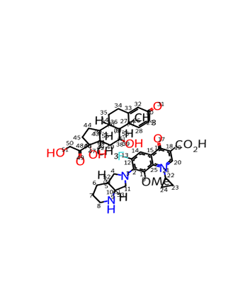 COc1c(N2C[C@@H]3CCCN[C@@H]3C2)c(F)cc2c(=O)c(C(=O)O)cn(C3CC3)c12.C[C@]12C=CC(=O)C=C1CC[C@@H]1[C@@H]2[C@@H](O)C[C@@]2(C)[C@H]1CC[C@]2(O)C(=O)CO